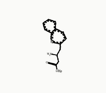 COC(=O)CC(N)Cc1ccc2ccccc2n1